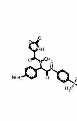 COc1ccc(C(C(=O)Nc2ccc(S(C)(C)C)cc2)N(C)C(=O)c2coc(=O)[nH]2)cc1